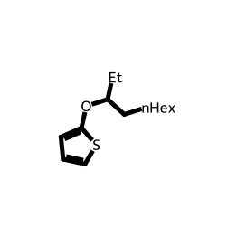 CCCCCCCC(CC)Oc1cccs1